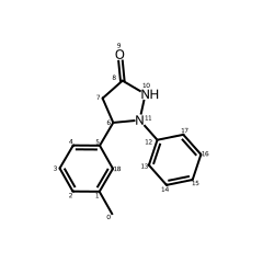 Cc1cccc(C2CC(=O)NN2c2ccccc2)c1